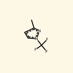 Cc1ccn(C(F)(F)F)n1